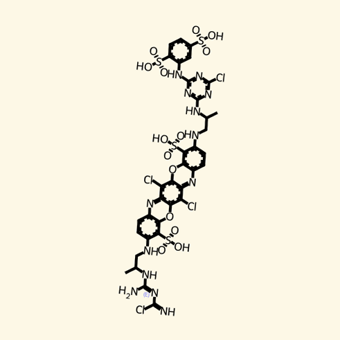 CC(CNc1ccc2c(c1S(=O)(=O)O)Oc1c(Cl)c3c(c(Cl)c1=N2)Oc1c(ccc(NCC(C)Nc2nc(Cl)nc(Nc4cc(S(=O)(=O)O)ccc4S(=O)(=O)O)n2)c1S(=O)(=O)O)N=3)N/C(N)=N/C(=N)Cl